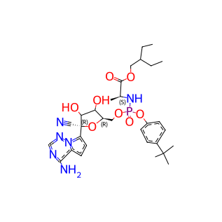 CCC(CC)COC(=O)[C@H](C)NP(=O)(OC[C@H]1O[C@@](C#N)(c2ccc3c(N)ncnn23)C(O)C1O)Oc1ccc(C(C)(C)C)cc1